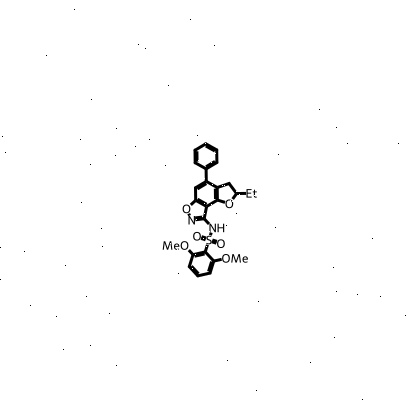 CCC1Cc2c(-c3ccccc3)cc3onc(NS(=O)(=O)c4c(OC)cccc4OC)c3c2O1